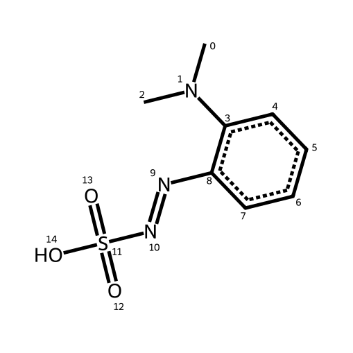 CN(C)c1ccccc1N=NS(=O)(=O)O